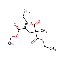 CCC=C(CC(C)(C(=O)O)C(=O)OCC)C(=O)OCC